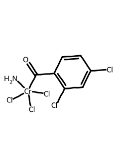 [NH2][Cr]([Cl])([Cl])([Cl])[C](=O)c1ccc(Cl)cc1Cl